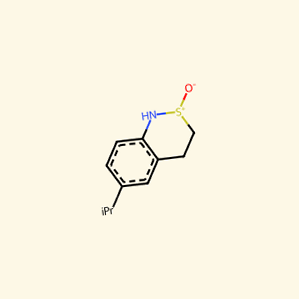 CC(C)c1ccc2c(c1)CC[S+]([O-])N2